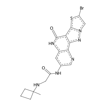 CC1(NCC(=O)Nc2cnc3c(c2)[nH]c(=O)c2c3nn3cc(Br)sc23)CCC1